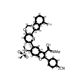 CNC(=O)c1c(-c2ccc(C#N)cc2)oc2cc(N(C)S(C)(=O)=O)c(-c3ccc4c(n3)-c3cc5c(F)cccc5n3CO4)cc12